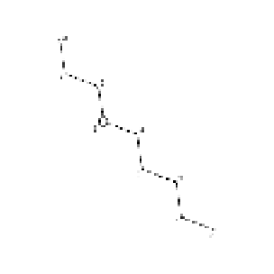 CCCCCOCCC